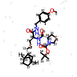 COc1ccc(CNC(=O)[C@H](CSC[C@@H]2C[C@@H]3CC[C@H]2C3)NC(=O)[C@@H]2CSCN2C(=O)OC(C)(C)C)cc1